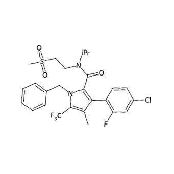 Cc1c(-c2ccc(Cl)cc2F)c(C(=O)N(CCS(C)(=O)=O)C(C)C)n(Cc2ccccc2)c1C(F)(F)F